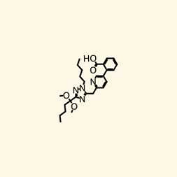 CCCCCn1nc(C(CCCC)(OC)OC)nc1Cc1ccc(-c2ccccc2C(=O)O)cn1